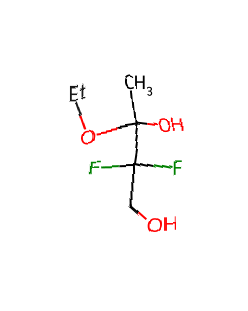 CCOC(C)(O)C(F)(F)CO